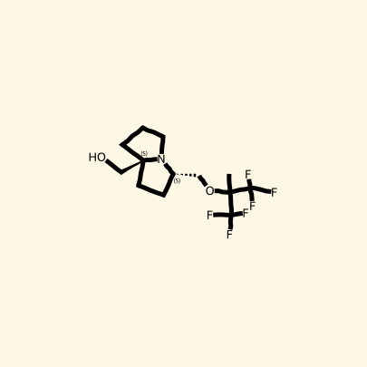 CC(OC[C@@H]1CC[C@]2(CO)CCCN12)(C(F)(F)F)C(F)(F)F